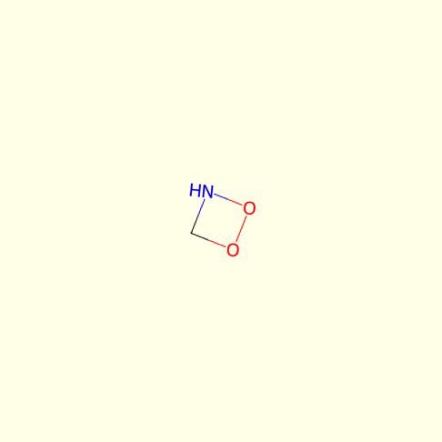 C1NOO1